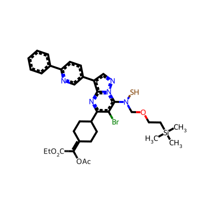 CCOC(=O)C(OC(C)=O)=C1CCC(c2nc3c(-c4ccc(-c5ccccc5)nc4)cnn3c(N(S)COCC[Si](C)(C)C)c2Br)CC1